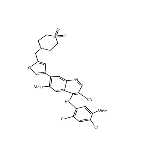 COc1cc(Nc2c(C#N)cnc3cc(-c4coc(CN5CCS(=O)(=O)CC5)c4)c(OC)cc23)c(Cl)cc1Cl